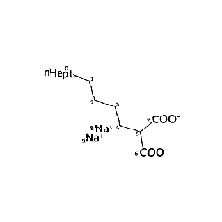 CCCCCCCCCCCC(C(=O)[O-])C(=O)[O-].[Na+].[Na+]